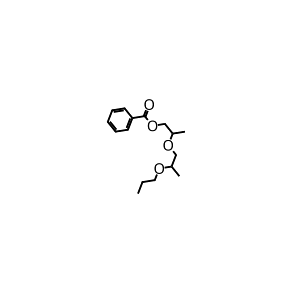 CCCOC(C)COC(C)COC(=O)c1ccccc1